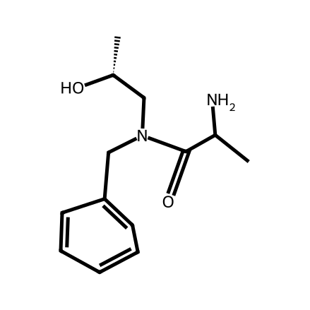 CC(N)C(=O)N(Cc1ccccc1)C[C@@H](C)O